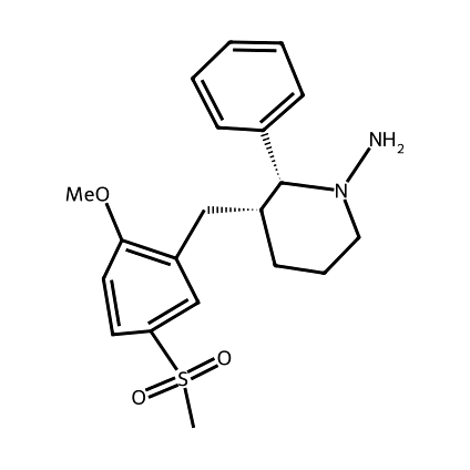 COc1ccc(S(C)(=O)=O)cc1C[C@H]1CCCN(N)[C@H]1c1ccccc1